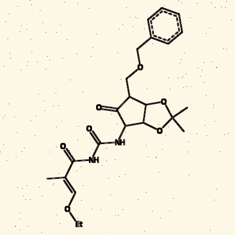 CCOC=C(C)C(=O)NC(=O)NC1C(=O)C(COCc2ccccc2)C2OC(C)(C)OC12